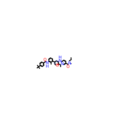 C/C=C(\C=C(\Nc1ccc(C(=O)N(C)CCC)cn1)C(=O)CC)c1cccc(NC(=O)c2ccc(C(C)(C)C)cc2)c1C